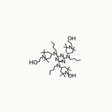 CCCCN(c1nc(N(CCCC)C2CC(C)(C)N(CCO)C(C)(C)C2)nc(N(CCCC)C2CC(C)(C)N(CCO)C(C)(C)C2)n1)C1CC(C)(C)N(O)C(C)(C)C1